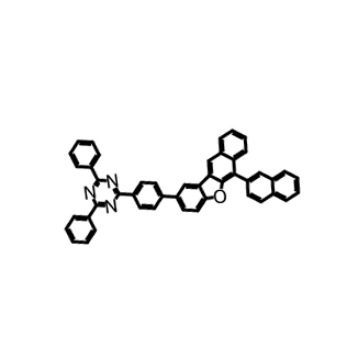 c1ccc(-c2nc(-c3ccccc3)nc(-c3ccc(-c4ccc5oc6c(-c7ccc8ccccc8c7)c7ccccc7cc6c5c4)cc3)n2)cc1